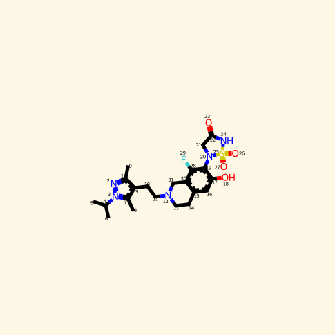 Cc1nn(C(C)C)c(C)c1CCN1CCc2cc(O)c(N3CC(=O)NS3(=O)=O)c(F)c2C1